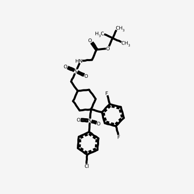 CC(C)(C)OC(=O)CNS(=O)(=O)CC1CCC(c2cc(F)ccc2F)(S(=O)(=O)c2ccc(Cl)cc2)CC1